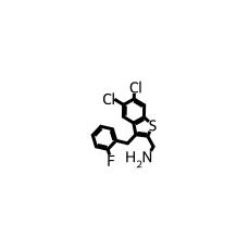 NCc1sc2cc(Cl)c(Cl)cc2c1Cc1ccccc1F